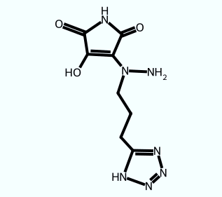 NN(CCCc1nnn[nH]1)C1=C(O)C(=O)NC1=O